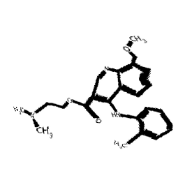 COc1cccc2c(Nc3ccccc3C)c(C(=O)OCCN(C)C)cnc12